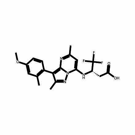 COc1ccc(-c2c(C)nn3c(N[C@@H](CC(=O)O)C(F)(F)F)cc(C)nc23)c(C)c1